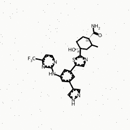 CC1C[C@@](O)(c2ncc(-c3cc(Nc4nccc(C(F)(F)F)n4)cc(-c4cn[nH]c4)c3)s2)CC[C@@H]1C(N)=O